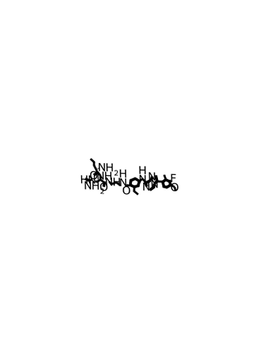 C=C(N)NCC(NC(=O)[C@@H](N)CCC)C(=O)NCCCNC(=O)c1ccc(Nc2nccn3c(-c4ccc(OC)c(F)c4C)cnc23)cc1CC